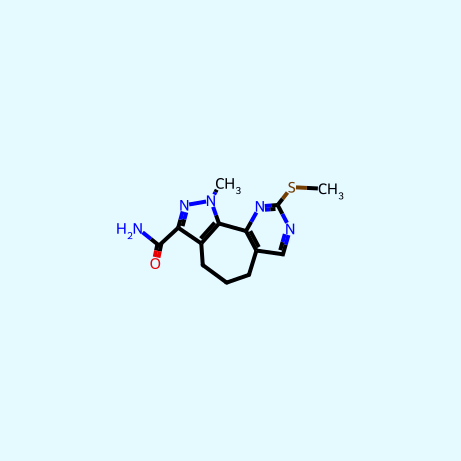 CSc1ncc2c(n1)-c1c(c(C(N)=O)nn1C)CCC2